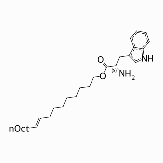 CCCCCCCCC=CCCCCCCCCOC(=O)[C@@H](N)Cc1c[nH]c2ccccc12